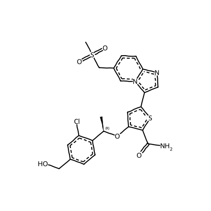 C[C@@H](Oc1cc(-c2cnc3ccc(CS(C)(=O)=O)cn23)sc1C(N)=O)c1ccc(CO)cc1Cl